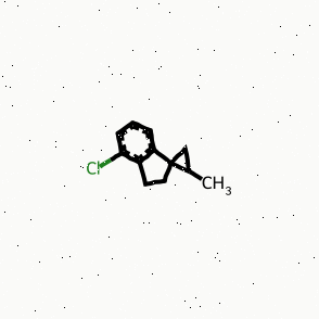 CC1CC12CCc1c(Cl)cccc12